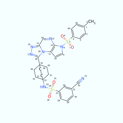 Cc1ccc(S(=O)(=O)n2ccc3c2ncc2nnc(C45CCC(NS(=O)(=O)c6cccc(C#N)c6)(CC4)CC5)n23)cc1